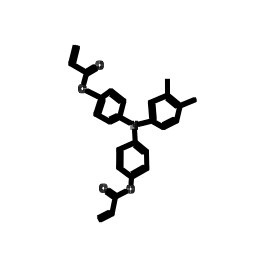 C=CC(=O)Oc1ccc(N(c2ccc(OC(=O)C=C)cc2)c2ccc(C)c(C)c2)cc1